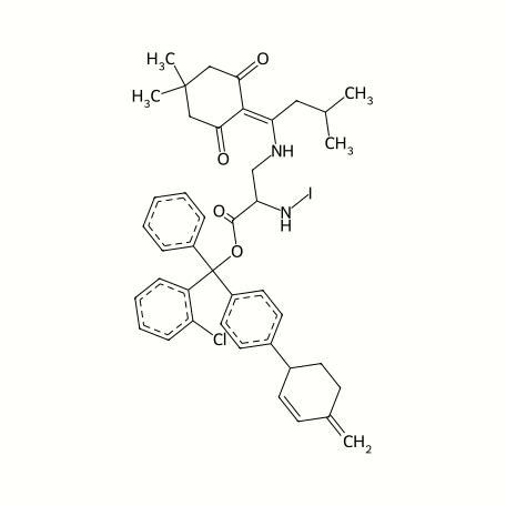 C=C1C=CC(c2ccc(C(OC(=O)C(CNC(CC(C)C)=C3C(=O)CC(C)(C)CC3=O)NI)(c3ccccc3)c3ccccc3Cl)cc2)CC1